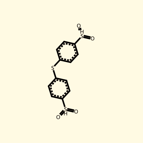 O=[SH](=O)c1ccc(Sc2ccc([SH](=O)=O)cc2)cc1